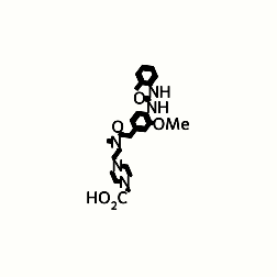 COc1cc(CC(=O)N(C)CCN2CCN(CC(=O)O)CC2)ccc1NC(=O)Nc1ccccc1C